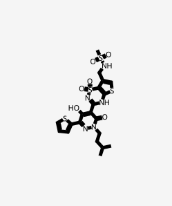 CC(C)CCn1nc(-c2cccs2)c(O)c(C2=NS(=O)(=O)c3c(CNS(C)(=O)=O)csc3N2)c1=O